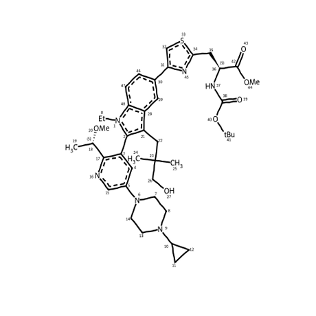 CCn1c(-c2cc(N3CCN(C4CC4)CC3)cnc2[C@H](C)OC)c(CC(C)(C)CO)c2cc(-c3csc(C[C@H](NC(=O)OC(C)(C)C)C(=O)OC)n3)ccc21